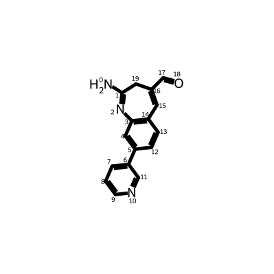 NC1=Nc2cc(-c3cccnc3)ccc2C=C(C=O)C1